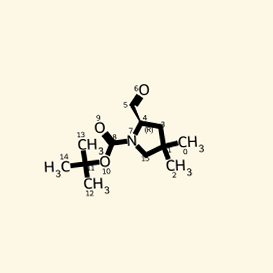 CC1(C)C[C@H](C=O)N(C(=O)OC(C)(C)C)C1